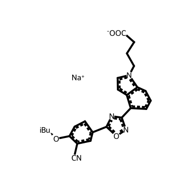 CC[C@@H](C)Oc1ccc(-c2nc(-c3cccc4c3ccn4CCCC(=O)[O-])no2)cc1C#N.[Na+]